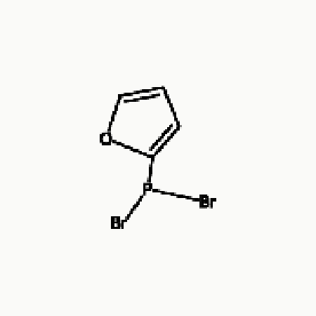 BrP(Br)c1ccco1